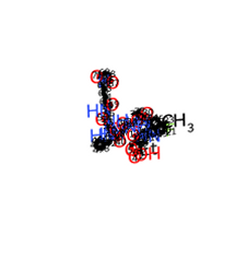 CC[C@@]1(O)C(=O)OCc2c1cc1n(c2=O)Cc2c-1nc1cc(F)c(C)c3c1c2[C@@H](NC(=O)C1(OCNC(=O)CNC(=O)C(Cc2ccccc2)NC(=O)CNC(=O)CNC(=O)CCCCCN2C(=O)C=CC2=O)CC1)CC3